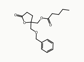 CCCCC(=O)OCC1(COCc2ccccc2)CCC(=O)O1